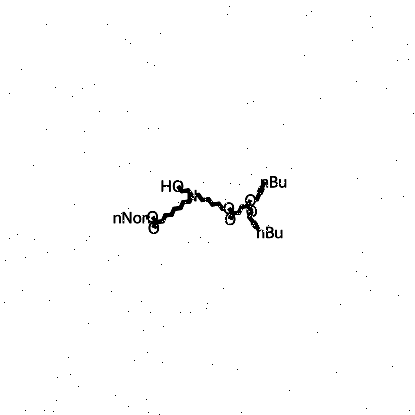 CCCCC#CCOC(CCC(=O)OCCCCCCN(CCO)CCCCCCCC(=O)OCCCCCCCCC)OCC#CCCCC